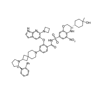 CC(C)c1ccccc1[C@H]1CCCN1C1CC2(CCN(c3ccc(C(=O)NS(=O)(=O)c4cc5c(c([N+](=O)[O-])c4)N[C@@H](C4CCC(C)(O)CC4)CO5)c(Oc4cc5cc[nH]c5nc4N4CCC4)c3)CC2)C1